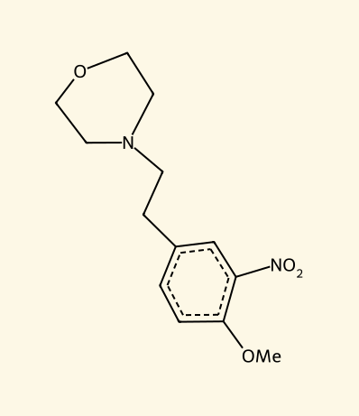 COc1ccc(CCN2CCOCC2)cc1[N+](=O)[O-]